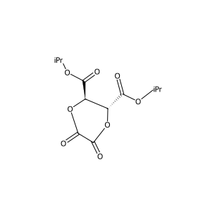 CC(C)OC(=O)[C@@H]1OC(=O)C(=O)O[C@H]1C(=O)OC(C)C